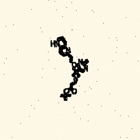 Cc1ncc(C2(COCCc3ccc4c(n3)CCCN4)CN(CCC(=O)OC(C)(C)C)C2)cn1